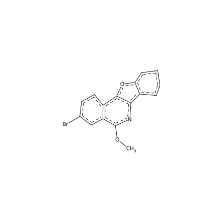 COc1nc2c3ccccc3oc2c2ccc(Br)cc12